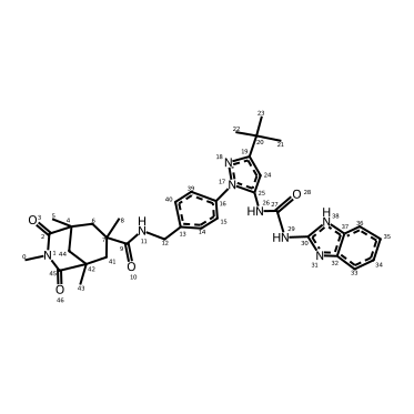 CN1C(=O)C2(C)CC(C)(C(=O)NCc3ccc(-n4nc(C(C)(C)C)cc4NC(=O)Nc4nc5ccccc5[nH]4)cc3)CC(C)(C2)C1=O